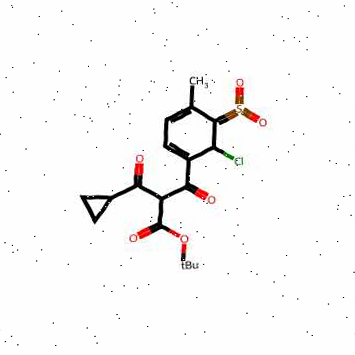 CC1=CC=C(C(=O)C(C(=O)OC(C)(C)C)C(=O)C2CC2)C(Cl)C1=S(=O)=O